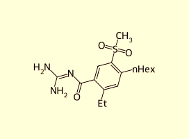 CCCCCCc1cc(CC)c(C(=O)N=C(N)N)cc1S(C)(=O)=O